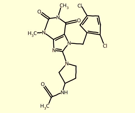 CC(=O)NC1CCN(c2nc3c(c(=O)n(C)c(=O)n3C)n2Cc2cc(Cl)ccc2Cl)C1